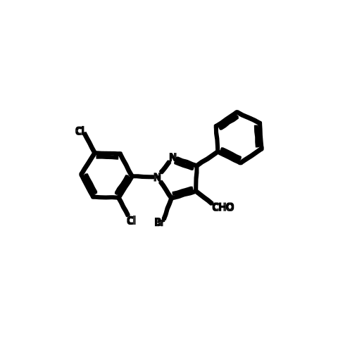 O=Cc1c(-c2ccccc2)nn(-c2cc(Cl)ccc2Cl)c1Br